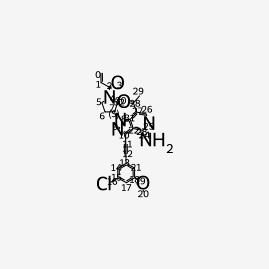 C=CC(=O)N1CC[C@H](n2nc(C#Cc3cc(Cl)cc(OC)c3)c3c(N)ncc(C(C)=O)c32)C1